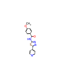 COc1ccc(C(=O)Nc2nnc(-c3ccncc3)s2)cc1